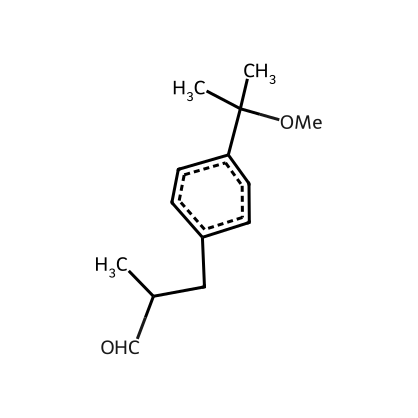 COC(C)(C)c1ccc(CC(C)C=O)cc1